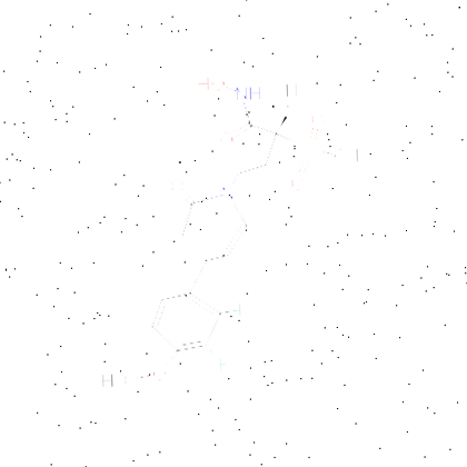 COc1ccc(-c2ccn(CC[C@](C)(C(=O)NO)S(C)(=O)=O)c(=O)c2)c(F)c1F